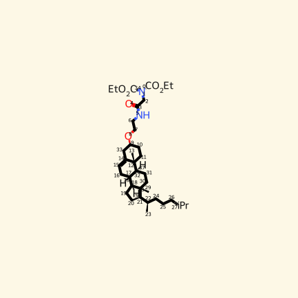 CCOC(=O)N(CC(=O)NCCO[C@H]1CC[C@@]2(C)C(=CC[C@H]3[C@@H]4CC[C@H]([C@H](C)CCCC(C)C)[C@@]4(C)CC[C@@H]32)C1)C(=O)OCC